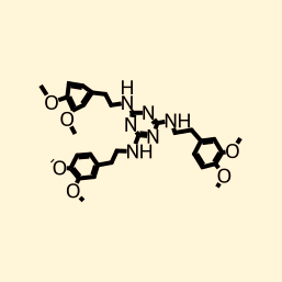 COc1ccc(CCNc2nc(NCCc3ccc(OC)c(OC)c3)nc(NCCc3ccc(OC)c(OC)c3)n2)cc1OC